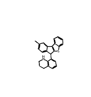 Cc1ccc2c(c1)-c1c(sc3ccccc13)C2c1cccc2c1NCCC2